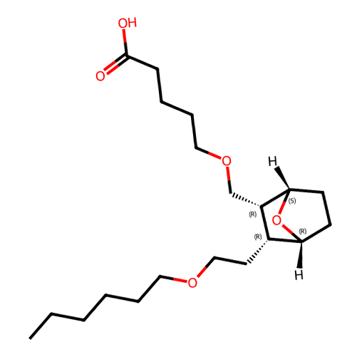 CCCCCCOCC[C@@H]1[C@H](COCCCCC(=O)O)[C@@H]2CC[C@H]1O2